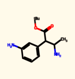 CC(N)C(C(=O)OC(C)(C)C)c1cccc(N)c1